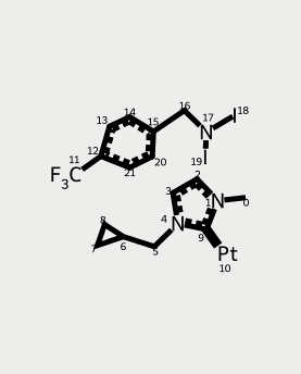 Cn1ccn(CC2CC2)[c]1=[Pt].FC(F)(F)c1ccc(CN(I)I)cc1